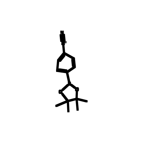 CC1(C)OB(c2ccc([N+]#N)cc2)OC1(C)C